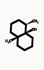 C[C@H]1CCC[C@@]2(C)CCCC[C@@]12O